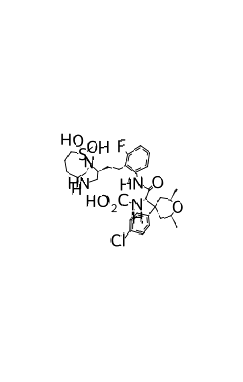 C[C@@H]1CC(c2ccc(Cl)cc2)([C@H](NC(=O)O)C(=O)Nc2cccc(F)c2CC[C@H]2CN[C@@H]3CCCS(O)(O)N2C3)C[C@H](C)O1